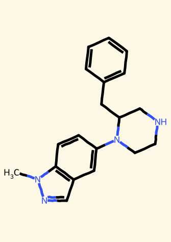 Cn1ncc2cc(N3CCNCC3Cc3ccccc3)ccc21